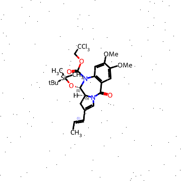 C/C=C/C1=CN2C(=O)c3cc(OC)c(OC)cc3N(C(=O)OCC(Cl)(Cl)Cl)[C@@H](O[Si](C)(C)C(C)(C)C)[C@@H]2C1